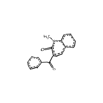 Cn1c(=O)c(C(=O)c2ccccc2)cc2ccccc21